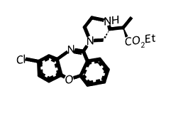 CCOC(=O)[C@H](C)[C@@H]1CN(C2=Nc3cc(Cl)ccc3Oc3ccccc32)CCN1